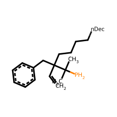 C=CC(CCCCCCCCCCCCCC)(Cc1ccccc1)C(C)(C)P